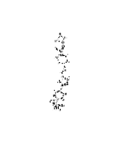 CS(=O)(=O)c1ccc(-c2nc(COC3CCN(C(=O)OC4CCC4)CC3)no2)cc1